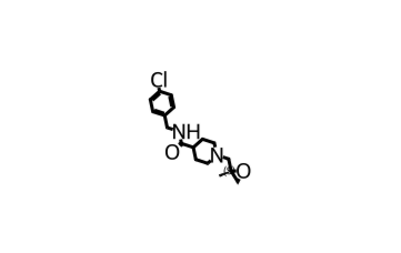 C[C@]1(CN2CCC(C(=O)NCc3ccc(Cl)cc3)CC2)CO1